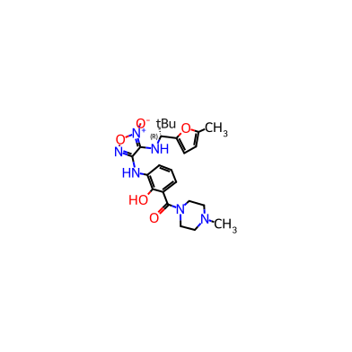 Cc1ccc([C@H](Nc2c(Nc3cccc(C(=O)N4CCN(C)CC4)c3O)no[n+]2[O-])C(C)(C)C)o1